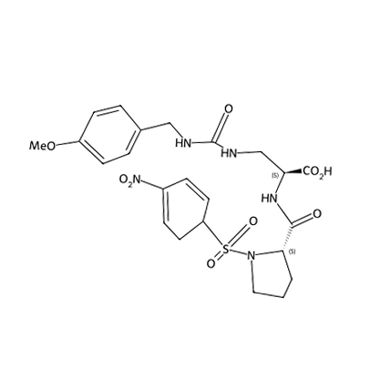 COc1ccc(CNC(=O)NC[C@H](NC(=O)[C@@H]2CCCN2S(=O)(=O)C2C=CC([N+](=O)[O-])=CC2)C(=O)O)cc1